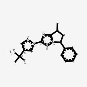 CC1CC(c2ccccc2)n2nc(-n3cc(C(C)(F)P)cn3)nc21